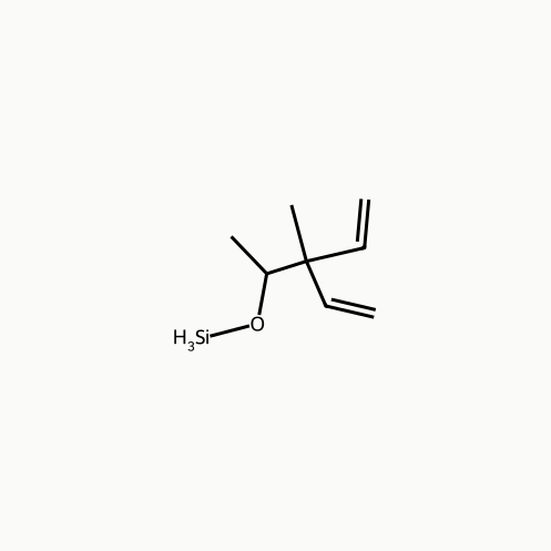 C=CC(C)(C=C)C(C)O[SiH3]